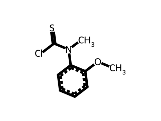 COc1ccccc1N(C)C(=S)Cl